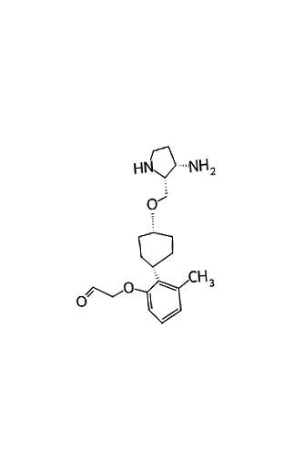 Cc1cccc(OCC=O)c1[C@H]1CC[C@@H](OC[C@@H]2NCC[C@@H]2N)CC1